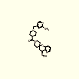 Nc1cc(CN2CCC(C(=O)N3CCC4(CC3)C/C(=N/O)c3ncccc3O4)CC2)ccn1